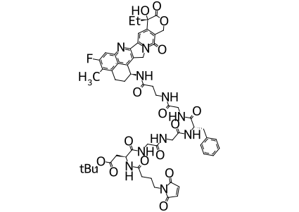 CC[C@@]1(O)C(=O)OCc2c1cc1n(c2=O)Cc2c-1nc1cc(F)c(C)c3c1c2[C@@H](NC(=O)CCNC(=O)CNC(=O)[C@H](Cc1ccccc1)NC(=O)CNC(=O)CNC(=O)[C@H](CC(=O)OC(C)(C)C)NC(=O)CCCN1C(=O)C=CC1=O)CC3